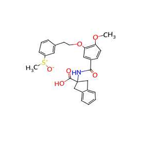 COc1ccc(C(=O)NC2(C(=O)O)Cc3ccccc3C2)cc1OCCc1cccc([S+](C)[O-])c1